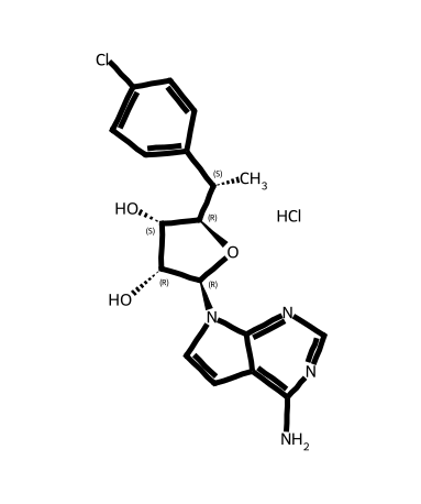 C[C@@H](c1ccc(Cl)cc1)[C@H]1O[C@@H](n2ccc3c(N)ncnc32)[C@H](O)[C@@H]1O.Cl